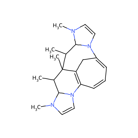 CC1C2N(C)C=CN2C2=CC=CC3=C(C2)C1(C)C(C)C1N(C)C=CN31